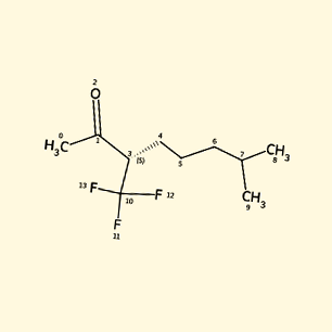 CC(=O)[C@H](CCCC(C)C)C(F)(F)F